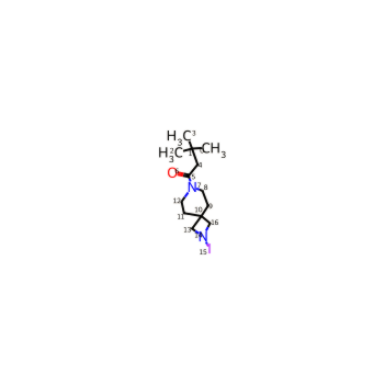 CC(C)(C)CC(=O)N1CCC2(CC1)CN(I)C2